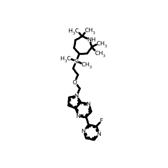 CC1(C)CCC([Si](C)(C)CCOCn2ccc3nc(-c4nccnc4F)cnc32)CC(C)(C)N1